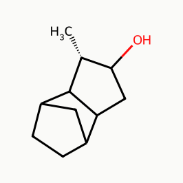 C[C@@H]1C(O)CC2C3CCC(C3)C21